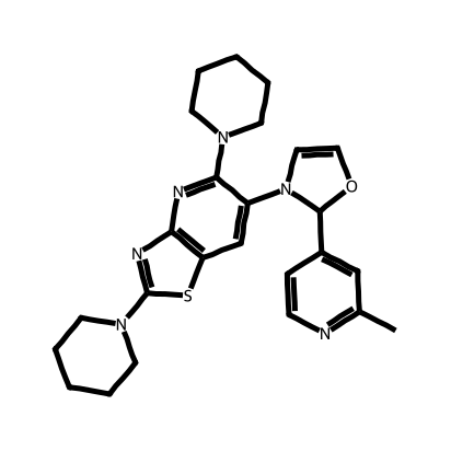 Cc1cc(C2OC=CN2c2cc3sc(N4CCCCC4)nc3nc2N2CCCCC2)ccn1